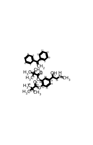 C=C(c1ccccc1)c1ccccc1.CNCC(O)c1ccc(OC(=O)C(C)(C)C)c(OC(=O)C(C)(C)C)c1